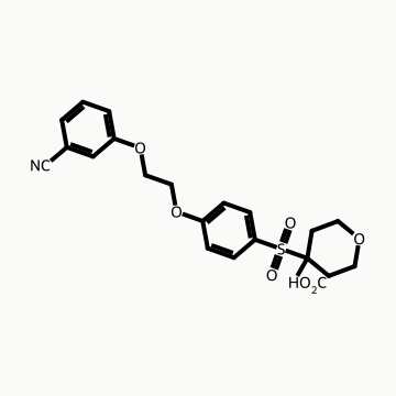 N#Cc1cccc(OCCOc2ccc(S(=O)(=O)C3(C(=O)O)CCOCC3)cc2)c1